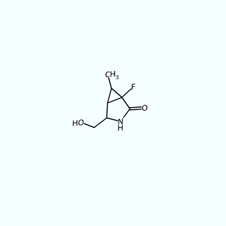 CC1C2C(CO)NC(=O)C12F